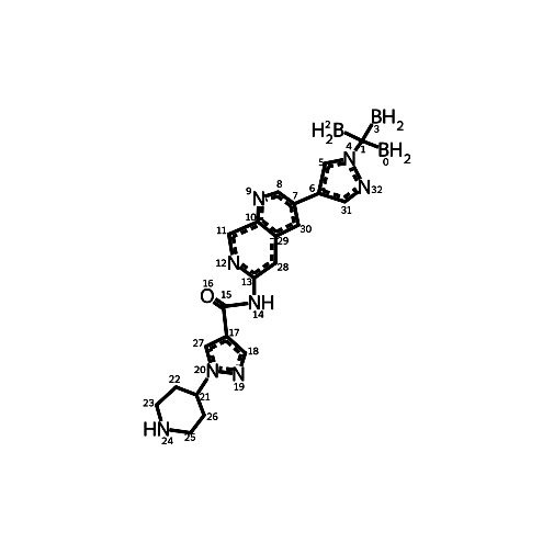 BC(B)(B)n1cc(-c2cnc3cnc(NC(=O)c4cnn(C5CCNCC5)c4)cc3c2)cn1